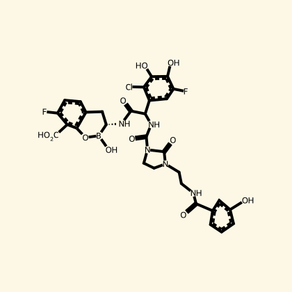 O=C(NCCN1CCN(C(=O)NC(C(=O)N[C@H]2Cc3ccc(F)c(C(=O)O)c3OB2O)c2cc(F)c(O)c(O)c2Cl)C1=O)c1cccc(O)c1